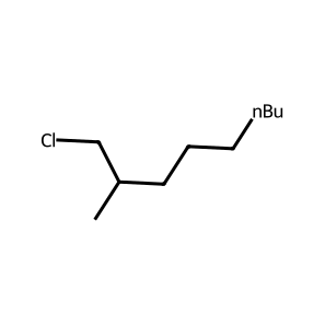 CCCCCCCC(C)CCl